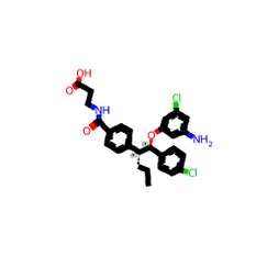 CCC[C@H](c1ccc(C(=O)NCCC(=O)O)cc1)[C@@H](Oc1cc(N)cc(Cl)c1)c1ccc(Cl)cc1